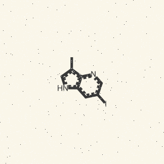 Cc1c[nH]c2cc(I)cnc12